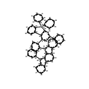 c1ccc(-c2nc(-c3ccccc3-n3c4ccccc4c4ccc5c6ccccc6n(-c6ccccc6)c5c43)c3c(n2)[Si](c2ccccc2)(c2ccccc2)c2ccccc2-3)cc1